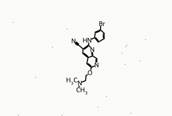 CN(C)CCOc1cc2cc(C#N)c(Nc3cccc(Br)c3)nc2cn1